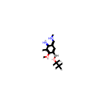 CN/C=C1/C=C(BOC(C)(C)C(C)(C)C)C(OC)=C(C)C1=N